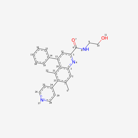 Cc1cc2nc(C(=O)NCCO)cc(-c3ccccc3)c2c(C)c1-c1ccncc1